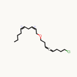 CCCC/C=C\C/C=C\COCCC=C=CCCCCl